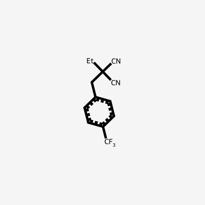 CCC(C#N)(C#N)Cc1ccc(C(F)(F)F)cc1